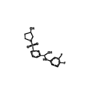 O=S(=O)(c1cccc(C(O)Nc2ccc(F)c(F)c2)c1)N1CCC(O)C1